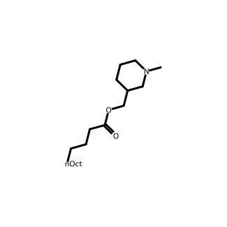 CCCCCCCCCCCC(=O)OCC1CCCN(C)C1